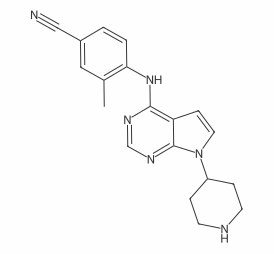 Cc1cc(C#N)ccc1Nc1ncnc2c1ccn2C1CCNCC1